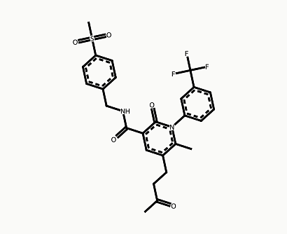 CC(=O)CCc1cc(C(=O)NCc2ccc(S(C)(=O)=O)cc2)c(=O)n(-c2cccc(C(F)(F)F)c2)c1C